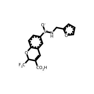 O=C(O)C1=Cc2cc([S+]([O-])NCc3ccco3)ccc2OC1C(F)(F)F